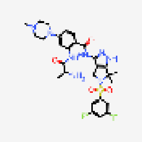 CC(N)C(=O)Nc1cc(N2CCN(C)CC2)ccc1C(=O)Nc1n[nH]c2c1CN(S(=O)(=O)c1cc(F)cc(F)c1)C2(C)C